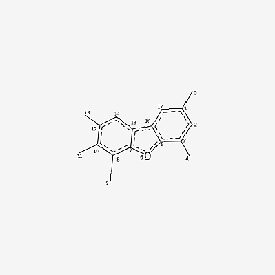 Cc1cc(C)c2oc3c(I)c(C)c(C)cc3c2c1